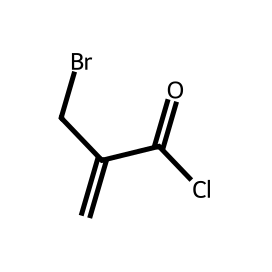 C=C(CBr)C(=O)Cl